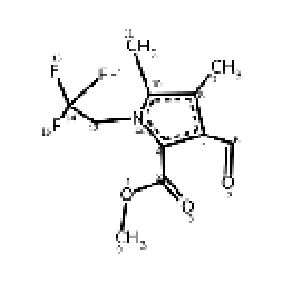 COC(=O)c1c(C=O)c(C)c(C)n1CC(F)(F)F